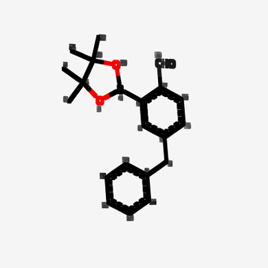 CC1(C)OB(c2cc(Cc3ccccc3)ccc2C=O)OC1(C)C